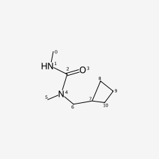 CNC(=O)N(C)CC1CCC1